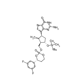 C=C1[C@H](CO[P@]2(=O)OCC[C@H](c3cc(F)cc(F)c3)O2)[C@@H](O[Si](C)(C)C(C)(C)C)C[C@@H]1n1cnc2c(=O)[nH]c(N)nc21